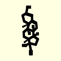 C#C[C@@]1(O)CC[C@H]2[C@@H]3CC=C4C=C(O)CC[C@]4(C)[C@H]3CC[C@@]21C